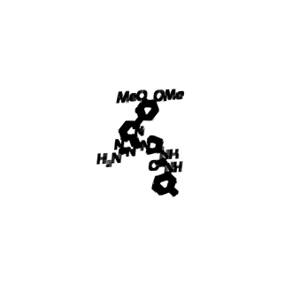 COc1ccc(-c2ccc3nc(N)nc(N4CC[C@H](NC(=O)Nc5cccc(C)c5)C4)c3n2)cc1OC